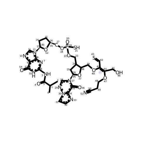 CC(C)C(=O)Nc1nc2c(ncn2[C@H]2CC[C@@H](COP(=O)(S)OCC3C[C@H](n4cnn5ccnc5c4=O)OC3CO/C(C=S)=C(/CO)OCCC#N)O2)c(=O)[nH]1